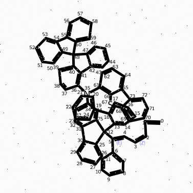 C=C/C=C\C=C(/c1ccccc1)C1(c2ccccc2-c2ccccc2)c2ccccc2-c2ccc(N(c3cccc4c3-c3ccccc3C43c4ccccc4-c4ccccc43)c3cccc4c3sc3ccccc34)cc21